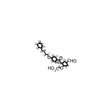 O=Cc1ccc(OCC(=O)O)c(NC(=O)c2ccc(OCCCCc3ccccc3)cc2)c1